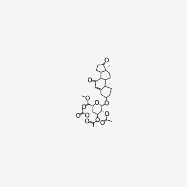 COC(=O)[C@H]1O[C@@H](O[C@@H]2CC[C@@]3(C)C(=CC(=O)C4C3CC[C@]3(C)C(=O)CCC43)C2)[C@H](OC(C)=O)[C@@H](OC(C)=O)[C@@H]1OC(C)=O